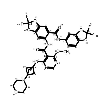 COc1ncnc(NC23CC(N4CCOCC4)(C2)C3)c1C(=O)Nc1cc2c(cc1C(=O)Nc1ccc3c(c1)OC(F)(F)O3)OC(F)(F)O2